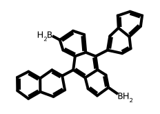 Bc1ccc2c(-c3ccc4ccccc4c3)c3cc(B)ccc3c(-c3ccc4ccccc4c3)c2c1